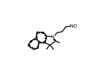 CC1=[N+](CCCN=O)c2ccc3ccccc3c2C1(C)C